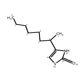 CCCCCCC(C)c1csc(=O)[nH]1